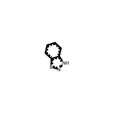 b1n[nH]c2ccccc12